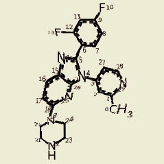 Cc1cc(-n2c(-c3ccc(F)cc3F)nc3ccc(N4CCNCC4)nc32)ccn1